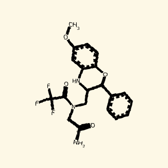 COc1ccc2c(c1)NC(CN(CC(N)=O)C(=O)C(F)(F)F)C(c1ccccc1)O2